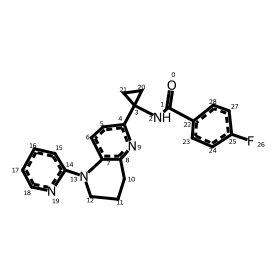 O=C(NC1(c2ccc3c(n2)CCCN3c2ccccn2)CC1)c1ccc(F)cc1